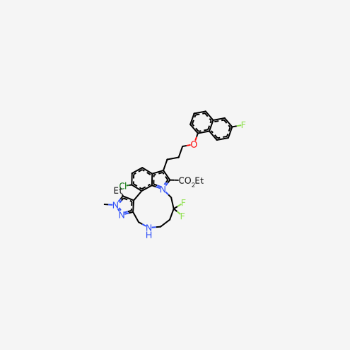 CCOC(=O)c1c(CCCOc2cccc3cc(F)ccc23)c2ccc(Cl)c3c2n1CC(F)(F)CCNCc1nn(C)c(CC)c1-3